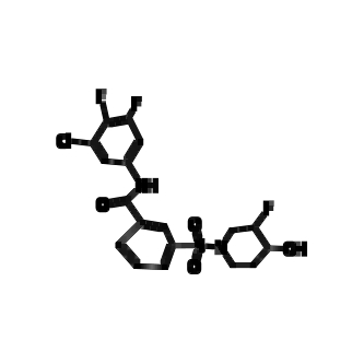 O=C(Nc1cc(F)c(F)c(Cl)c1)c1cccc(S(=O)(=O)N2CCC(O)C(F)C2)c1